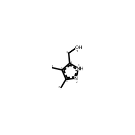 [CH2]c1n[nH]c(CO)c1C